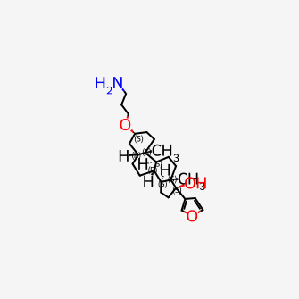 C[C@]12CC[C@H](OCCCN)C[C@H]1CC[C@@H]1[C@@H]2CC[C@@]2(C)[C@H]1CC[C@@]2(O)c1ccoc1